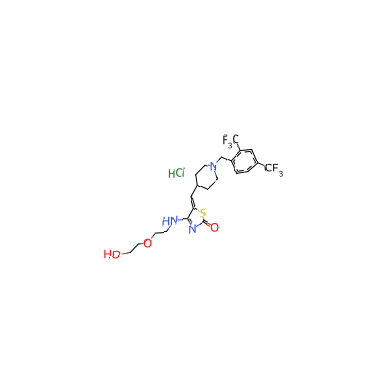 Cl.O=C1N=C(NCCOCCO)/C(=C/C2CCN(Cc3ccc(C(F)(F)F)cc3C(F)(F)F)CC2)S1